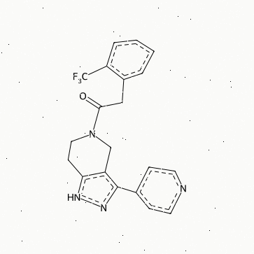 O=C(Cc1ccccc1C(F)(F)F)N1CCc2[nH]nc(-c3ccncc3)c2C1